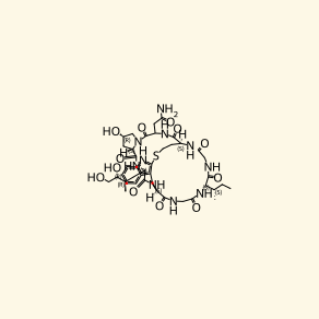 CC[C@H](C)[C@@H]1NC(=O)CNC(=O)[C@@H]2Cc3c([nH]c4ccccc34)SCC[C@H](NC(=O)CNC1=O)C(=O)NC(CC(N)=O)C(=O)N1C[C@H](O)C[C@H]1C(=O)N[C@@H]([C@@H](C)[C@@H](O)CO)C(=O)N2